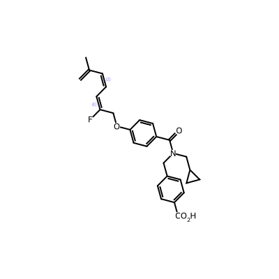 C=C(C)/C=C\C=C(\F)COc1ccc(C(=O)N(Cc2ccc(C(=O)O)cc2)CC2CC2)cc1